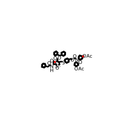 CC(=O)Oc1ccc2c(c1)Oc1cc(OC(C)=O)ccc1N2C(=O)OCc1ccc(SCC2=C(C(=O)OC(c3ccccc3)c3ccccc3)N3C(=O)C(NC(=O)Cc4ccccc4)C3[S+]([O-])C2)cc1